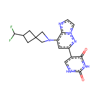 O=c1[nH]cc(-c2cc(N3CC4(CC(C(F)F)C4)C3)c3nccn3n2)c(=O)[nH]1